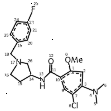 COc1cc(N(C)C)c(Cl)cc1C(=O)NC1CCN(Cc2ccc(F)cc2)C1